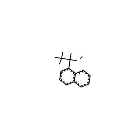 O=COC(c1cccc2ccccc12)(C(F)(F)F)C(F)(F)S(=O)(=O)O